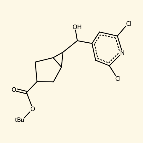 CC(C)(C)OC(=O)C1CC2C(C1)C2C(O)c1cc(Cl)nc(Cl)c1